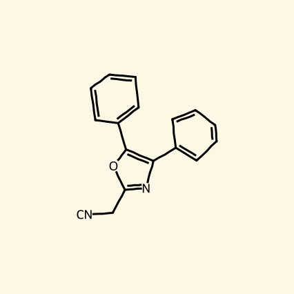 [C-]#[N+]Cc1nc(-c2ccccc2)c(-c2ccccc2)o1